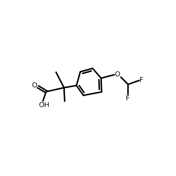 CC(C)(C(=O)O)c1ccc(OC(F)F)cc1